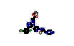 CC(C)OC(=O)C1CN(c2nnc(-c3cc(Cl)ccc3F)cc2Nc2ccnc(NC(=O)CCN3CCN(C)CC3)c2)C1